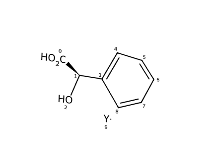 O=C(O)[C@H](O)c1ccccc1.[Y]